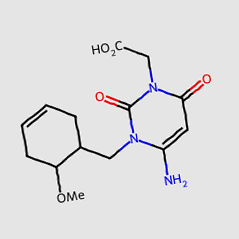 COC1CC=CCC1Cn1c(N)cc(=O)n(CC(=O)O)c1=O